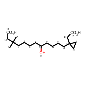 CC(C)(CCCCC(O)CCCCC1(CC(=O)O)CC1)CC(=O)O